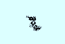 C[C@@H]1CN(c2ccnc3cc(C#N)ccc23)CC[C@@H]1C(=O)N1CCn2c(nnc2C(F)(F)F)C1